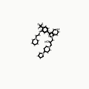 OC(CN1CCC(N2CCCC2)CC1)Cn1nc(-c2ccc(C(F)(F)F)c(SCCN3CCCCC3)c2)c2c1CCNC2